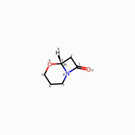 O=C1C[C@H]2OCCCN12